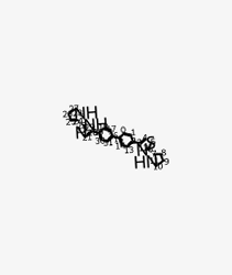 c1cc(-c2csc([C@@H]3CCCN3)n2)ccc1-c1ccc(-c2cnc([C@@H]3CCCN3)[nH]2)cc1